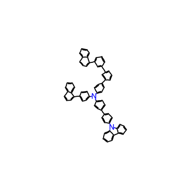 c1cc(-c2ccc(N(c3ccc(-c4ccc(-n5c6ccccc6c6ccccc65)cc4)cc3)c3ccc(-c4cccc5ccccc45)cc3)cc2)cc(-c2cccc(-c3cccc4ccccc34)c2)c1